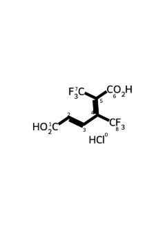 Cl.O=C(O)C=CC(=C(C(=O)O)C(F)(F)F)C(F)(F)F